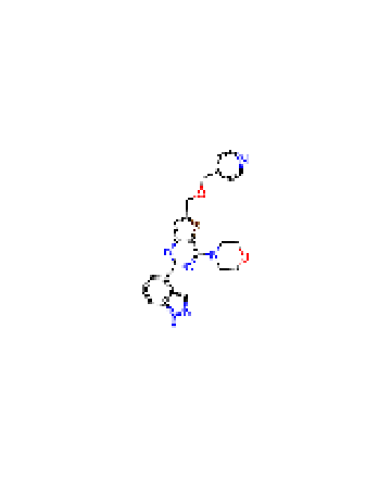 c1cc(-c2nc(N3CCOCC3)c3sc(COCc4ccncc4)cc3n2)c2cn[nH]c2c1